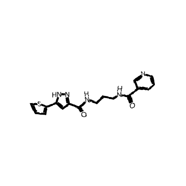 O=C(NCCCNC(=O)c1cc(-c2cccs2)[nH]n1)c1cccnc1